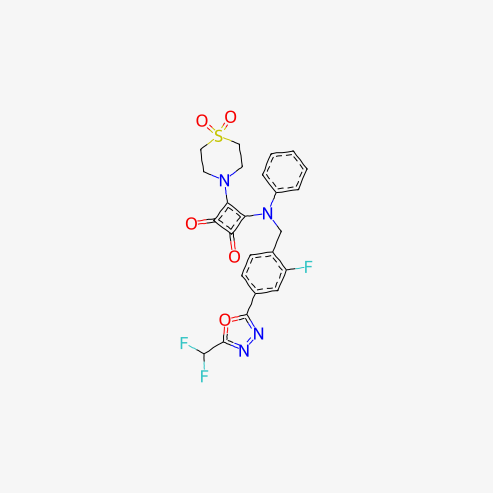 O=c1c(N2CCS(=O)(=O)CC2)c(N(Cc2ccc(-c3nnc(C(F)F)o3)cc2F)c2ccccc2)c1=O